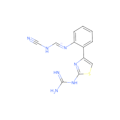 N#CN/C=N/c1ccccc1-c1csc(NC(=N)N)n1